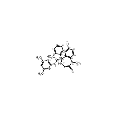 Cc1cc(C)nc(O[C@H](C(=O)O)[C@@]2(c3ccccc3)NCC(=O)N(C)c3ccc(Cl)cc32)n1